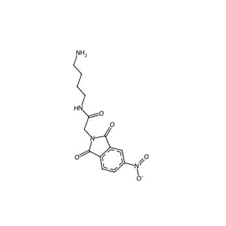 NCCCCNC(=O)CN1C(=O)c2ccc([N+](=O)[O-])cc2C1=O